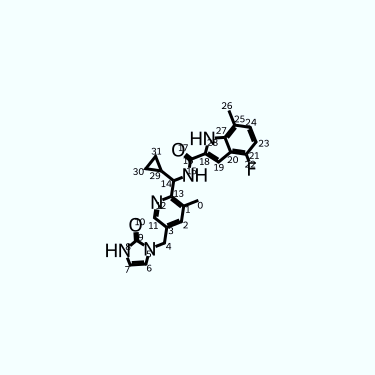 Cc1cc(Cn2cc[nH]c2=O)cnc1C(NC(=O)c1cc2c(F)ccc(C)c2[nH]1)C1CC1